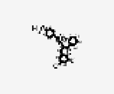 Cc1ccc(-c2noc(C3=Cc4cc(Cl)cc(Cl)c4OC3c3ccccc3)n2)cc1